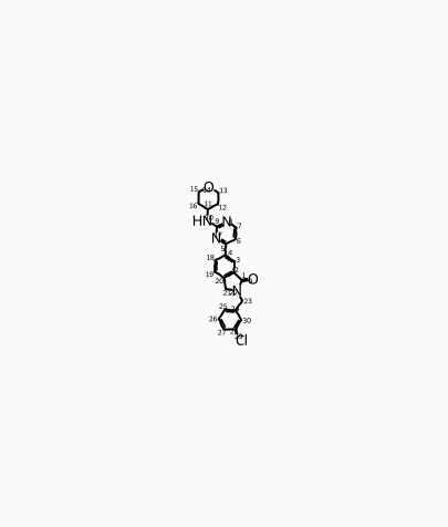 O=C1c2cc(-c3ccnc(NC4CCOCC4)n3)ccc2CN1Cc1cccc(Cl)c1